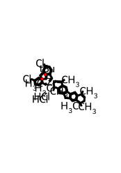 CC1=CCC(C)(C)c2cc3c(cc21)-c1cc2c(cc1C3)C(C)(C)[CH]([Zr](=[CH]c1ccc(Cl)cc1)(=[CH]c1ccc(Cl)cc1)[C]1=CC(C(C)(C)C)=CC1C)C=C2C.Cl.Cl